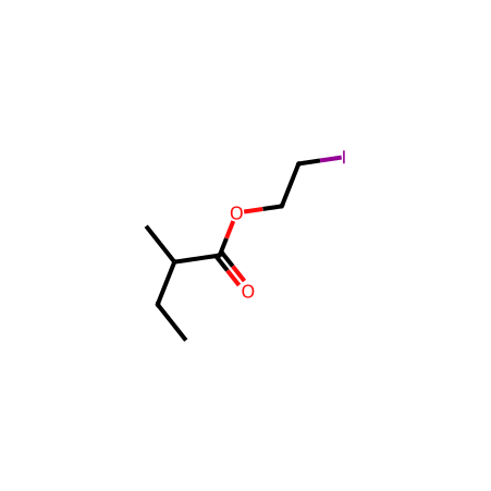 CCC(C)C(=O)OCCI